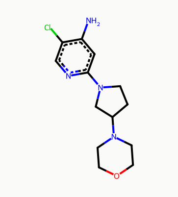 Nc1cc(N2CCC(N3CCOCC3)C2)ncc1Cl